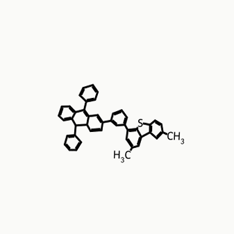 Cc1ccc2sc3c(-c4cccc(C5=CC6=C(c7ccccc7)c7ccccc7C(c7ccccc7)C6C=C5)c4)cc(C)cc3c2c1